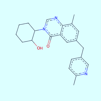 Cc1ccc(Cc2cc(C)c3ncn(C4CCCCC4O)c(=O)c3c2)cn1